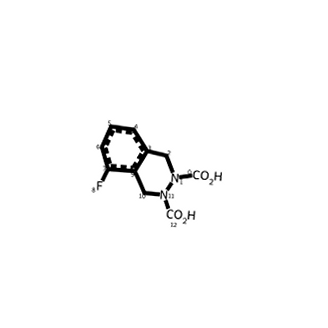 O=C(O)N1Cc2cccc(F)c2CN1C(=O)O